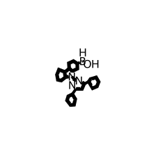 OBc1ccc2c3ccccc3n(-c3nc(-c4ccccc4)cc(-c4ccccc4)n3)c2c1